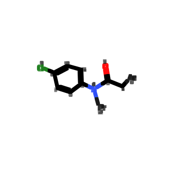 CC(=O)CC(=O)N(c1ccc(Cl)cc1)C(C)C